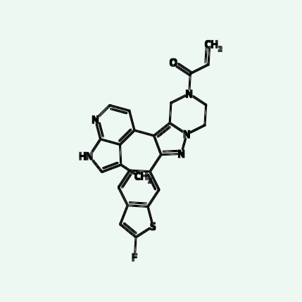 C=CC(=O)N1CCn2nc(-c3ccc4cc(F)sc4c3)c(-c3ccnc4[nH]cc(C)c34)c2C1